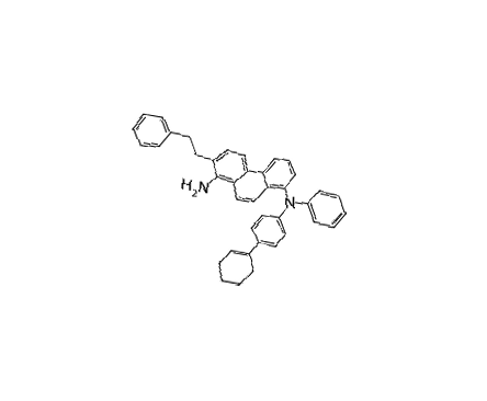 Nc1c(CCc2ccccc2)ccc2c1ccc1c(N(c3ccccc3)c3ccc(C4=CCCCC4)cc3)cccc12